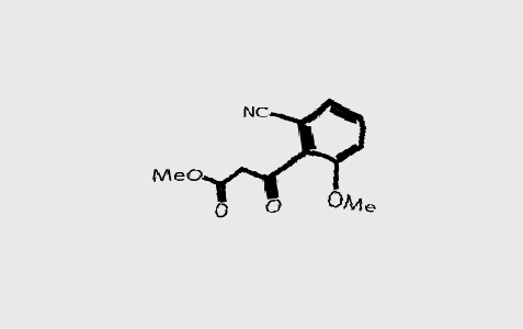 COC(=O)CC(=O)c1c(C#N)cccc1OC